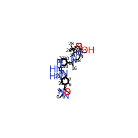 Cc1noc(-c2ccc3nc(Nc4cc(C(C)N5CCN(C(=O)O)C(C(C)(C)C)C5)ccn4)[nH]c3c2)n1